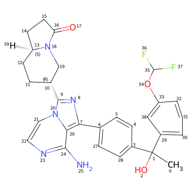 CC(O)(c1ccc(-c2nc([C@@H]3CC[C@H]4CCC(=O)N4C3)n3ccnc(N)c23)cc1)c1cccc(OC(F)F)c1